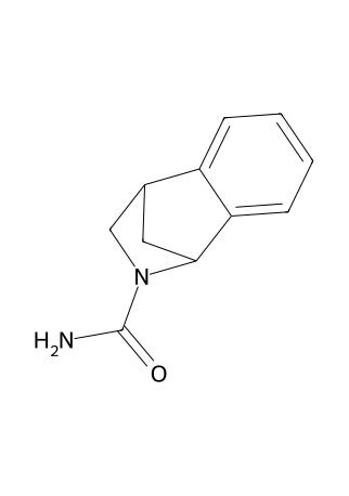 NC(=O)N1CC2CC1c1ccccc12